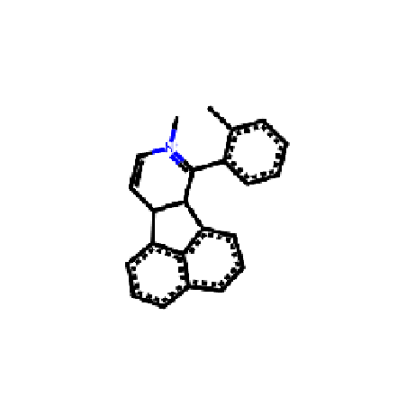 Cc1ccccc1C1=[N+](C)C=CC2c3cccc4cccc(c34)C12